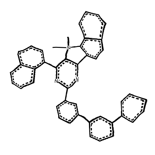 C[Si]1(C)c2c(nc(-c3cccc(-c4cccc(-c5ccccc5)c4)c3)nc2-c2cccc3ccccc23)-c2ccc3ccccc3c21